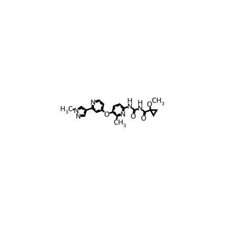 COC1(C(=O)NC(=O)Nc2ccc(Oc3ccnc(-c4cnn(C)c4)c3)c(C)n2)CC1